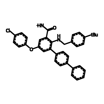 CC(C)(C)c1ccc(CNc2c(C([NH])=O)cc(Oc3ccc(Cl)cc3)cc2-c2ccc(-c3ccccc3)cc2)cc1